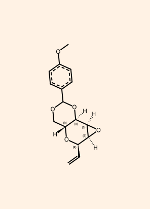 C=C[C@H]1O[C@@H]2COC(c3ccc(OC)cc3)O[C@H]2[C@H]2O[C@H]21